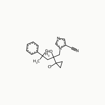 CC(C)(CC(O)(Cn1cncc1C#N)C1(Cl)CC1)c1ccccc1